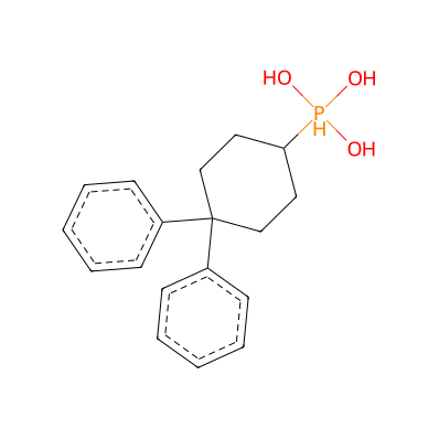 O[PH](O)(O)C1CCC(c2ccccc2)(c2ccccc2)CC1